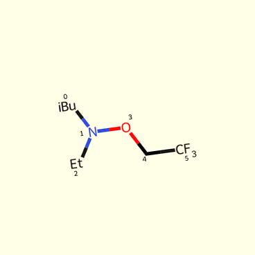 CCC(C)N(CC)OCC(F)(F)F